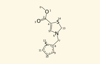 COC(=O)C1=[C]N(Cc2cccs2)CS1